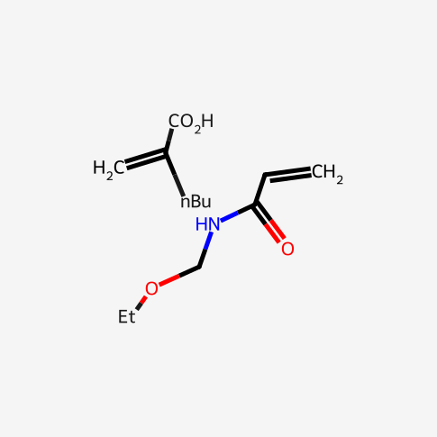 C=C(CCCC)C(=O)O.C=CC(=O)NCOCC